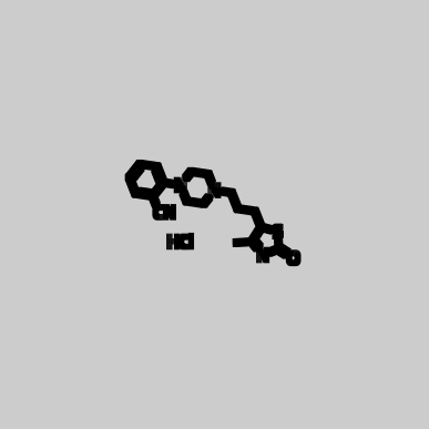 CC1=NC(=O)SC1CCCN1CCN(c2ccccc2C#N)CC1.Cl